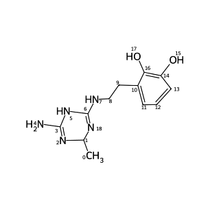 CC1N=C(N)NC(NCCc2cccc(O)c2O)=N1